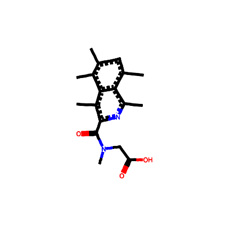 Cc1cc(C)c2c(C)nc(C(=O)N(C)CC(=O)O)c(C)c2c1C